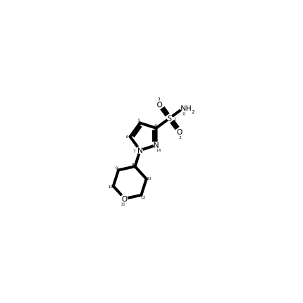 NS(=O)(=O)c1ccn(C2CCOCC2)n1